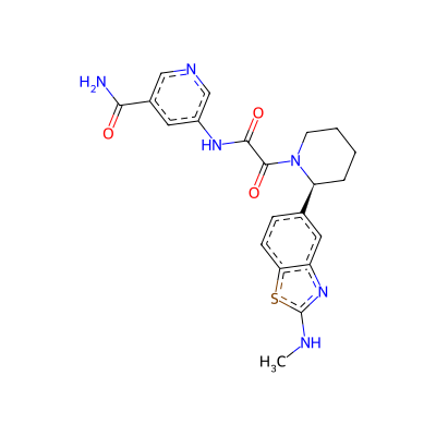 CNc1nc2cc([C@@H]3CCCCN3C(=O)C(=O)Nc3cncc(C(N)=O)c3)ccc2s1